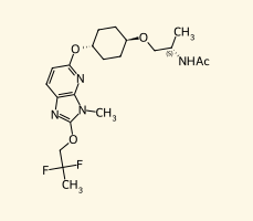 CC(=O)N[C@@H](C)CO[C@H]1CC[C@H](Oc2ccc3nc(OCC(C)(F)F)n(C)c3n2)CC1